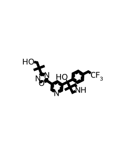 CC(C)(CO)c1noc(-c2cncc([C@@](O)(c3ccc(CC(F)(F)F)cc3)C3(C)CNC3)c2)n1